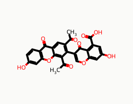 CC(=O)c1cc2c(=O)c3ccc(O)cc3oc2c(C(C)=O)c1-c1coc2cc(O)cc(C(=O)O)c2c1=O